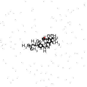 COc1cc(Nc2ncc3c(C)c(C(C)=O)c(=O)n(C45CC(C4)C5)c3n2)ccc1OCCN(C)C